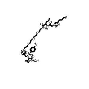 CCCC(NC(=O)Cn1cc(CCCF)nn1)C(=O)NCCOCCOCCOCCn1cc(CN(C(C(=O)NO)C(C)C)S(=O)(=O)c2ccc(OC)cc2)nn1